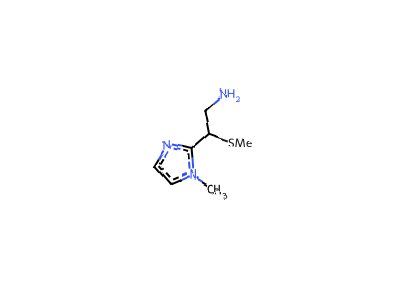 CSC(CN)c1nccn1C